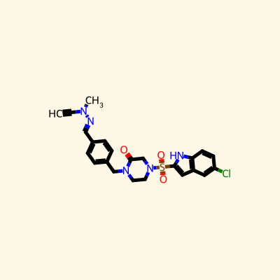 C#CN(C)N=Cc1ccc(CN2CCN(S(=O)(=O)c3cc4cc(Cl)ccc4[nH]3)CC2=O)cc1